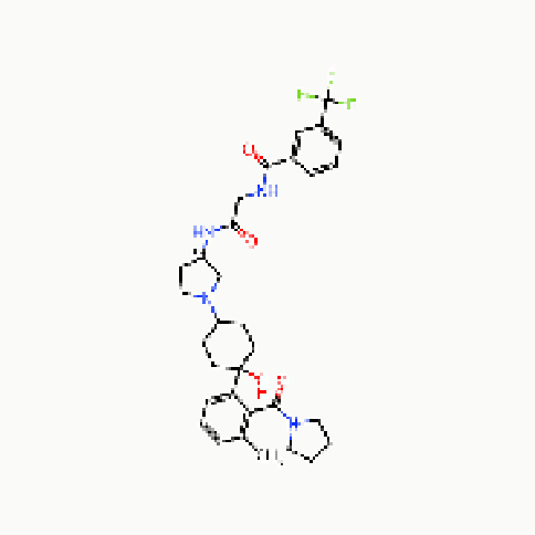 Cc1cccc(C2(O)CCC(N3CC[C@@H](NC(=O)CNC(=O)c4cccc(C(F)(F)F)c4)C3)CC2)c1C(=O)N1CCCC1